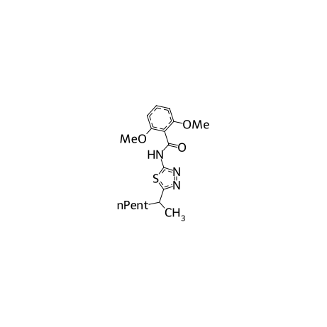 CCCCCC(C)c1nnc(NC(=O)c2c(OC)cccc2OC)s1